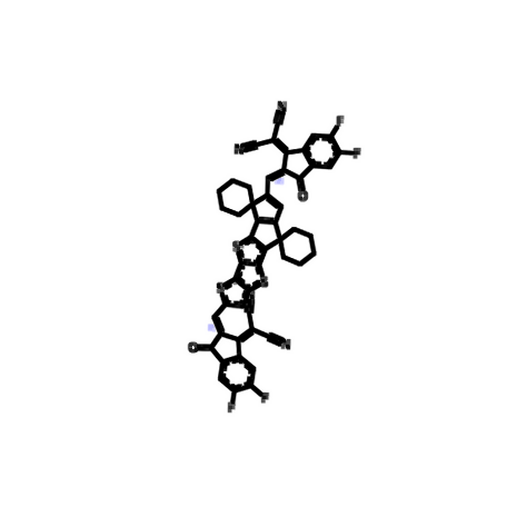 N#CC(C#N)=C1/C(=C/C2=CC3=C(c4sc5c(sc6cc(/C=C7/C(=O)c8cc(F)c(F)cc8C7=C(C#N)C#N)sc65)c4C34CCCCC4)C23CCCCC3)C(=O)c2cc(F)c(F)cc21